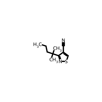 CCCC(C)(C)c1nscc1C#N